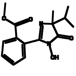 COC(=O)c1ccccc1C1=NC(C)(C(C)C)C(=O)N1O